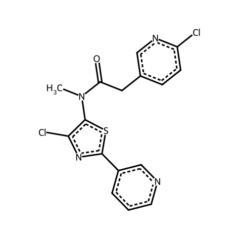 CN(C(=O)Cc1ccc(Cl)nc1)c1sc(-c2cccnc2)nc1Cl